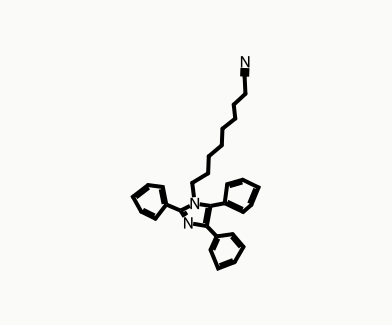 N#CCCCCCCCCn1c(-c2ccccc2)nc(-c2ccccc2)c1-c1ccccc1